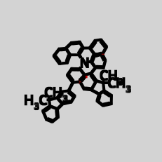 CC1(C)c2ccccc2-c2ccc(-c3ccc(N(c4ccccc4-c4cccc5c4C(C)(C)c4ccccc4-5)c4c(-c5ccccc5)ccc5ccccc45)cc3)cc21